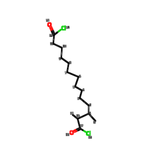 CC(CCCCCCCCCCC(=O)Cl)C(C)C(=O)Cl